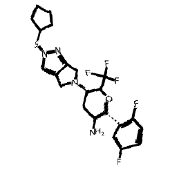 NC1C[C@@H](N2Cc3cn(SC4CCCC4)nc3C2)C(C(F)(F)F)O[C@@H]1c1cc(F)ccc1F